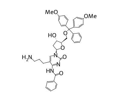 COc1ccc(C(OC[C@H]2O[C@@H](n3cc(CCCN)c(NC(=O)c4ccccc4)nc3=O)C[C@@H]2O)(c2ccccc2)c2ccc(OC)cc2)cc1